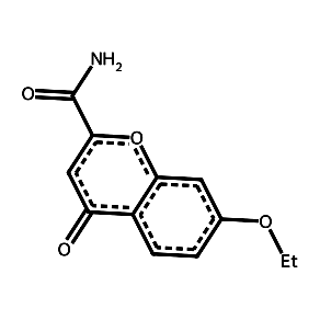 CCOc1ccc2c(=O)cc(C(N)=O)oc2c1